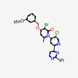 COc1cccc(COc2cc(C)n(-c3cc(-c4ccnc(C(C)C)n4)ncc3Cl)c(=O)c2Br)c1